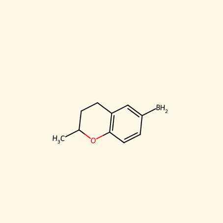 Bc1ccc2c(c1)CCC(C)O2